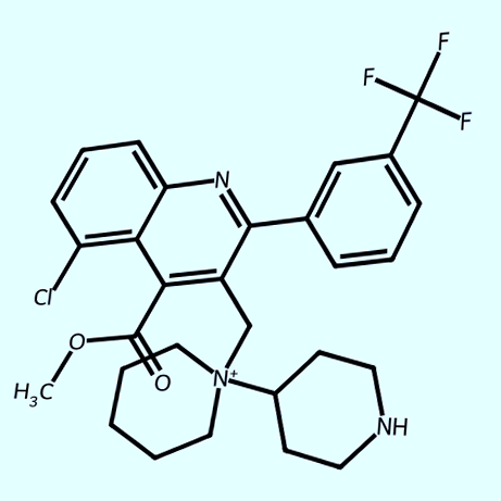 COC(=O)c1c(C[N+]2(C3CCNCC3)CCCCC2)c(-c2cccc(C(F)(F)F)c2)nc2cccc(Cl)c12